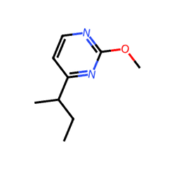 CCC(C)c1ccnc(OC)n1